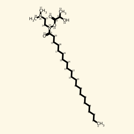 CCCCCCCCCCCCCCCCCCCCCC(=O)N(CCN(C)C)OC(=O)C(C)O